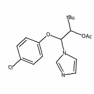 CC(=O)OC(C(Oc1ccc(Cl)cc1)n1ccnc1)C(C)(C)C